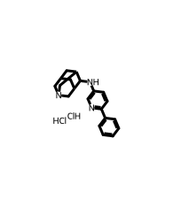 Cl.Cl.c1ccc(-c2ccc(NC3C4CC5CC3CN(C5)C4)cn2)cc1